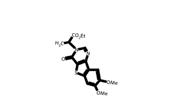 CCOC(=O)C(C)n1cnc2c(sc3cc(OC)c(OC)cc32)c1=O